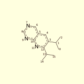 CC(C)c1cc2cncnc2nc1C(C)C